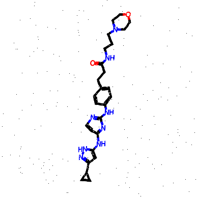 O=C(CCc1ccc(Nc2nccc(Nc3cc(C4CC4)n[nH]3)n2)cc1)NCCCN1CCOCC1